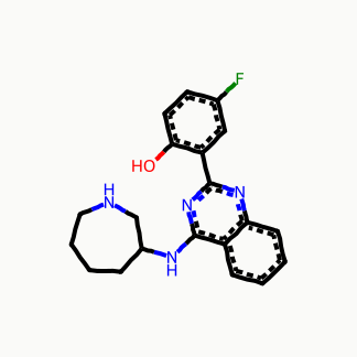 Oc1ccc(F)cc1-c1nc(NC2CCCCNC2)c2ccccc2n1